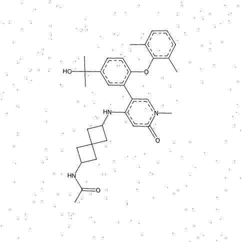 CC(=O)NC1CC2(C1)CC(Nc1cc(=O)n(C)cc1-c1cc(C(C)(C)O)ccc1Oc1c(C)cccc1C)C2